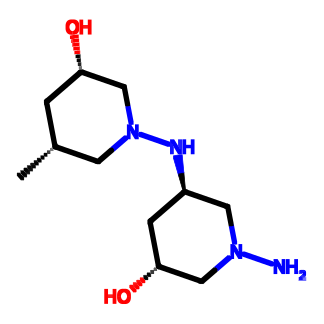 C[C@@H]1C[C@H](O)CN(N[C@@H]2C[C@@H](O)CN(N)C2)C1